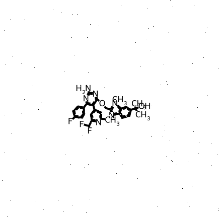 Cc1cc(-c2c(OCc3nc4ccc(C(C)(C)O)cc4n3C)nc(N)nc2-c2ccc(F)cc2)cc(C(F)F)n1